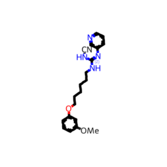 COc1cccc(OCCCCCCN/C(=N/c2cccnc2)NC#N)c1